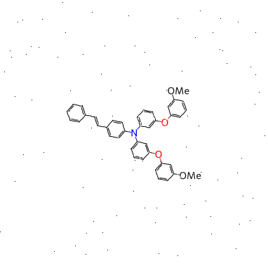 COc1cccc(Oc2cccc(N(c3ccc(C=Cc4ccccc4)cc3)c3cccc(Oc4cccc(OC)c4)c3)c2)c1